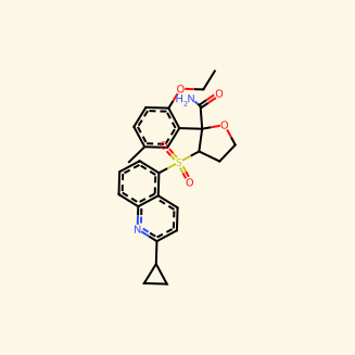 CCOc1ccc(C)cc1C1(C(N)=O)OCCC1S(=O)(=O)c1cccc2nc(C3CC3)ccc12